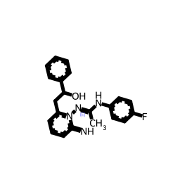 C/C(=N\n1c(CC(O)c2ccccc2)cccc1=N)Nc1ccc(F)cc1